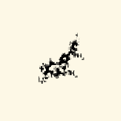 COc1ncnc(C2CC2)c1-c1ncc2c(n1)N(Cc1ccc(-c3nc(C(C)(F)F)cn3C)cc1)C(=O)N(C)C2